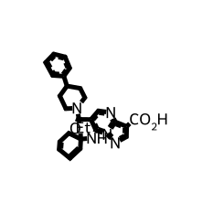 CCC1(Nc2c(C(=O)N3CCC(c4ccccc4)CC3)cnc3c(C(=O)O)cnn23)C=CC=CC1